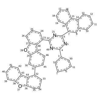 c1ccc(-c2nc(-c3cc4ccccc4c4ccccc34)nc(-c3cccc4oc5cc(-c6cccc7oc8ccccc8c67)ccc5c34)n2)cc1